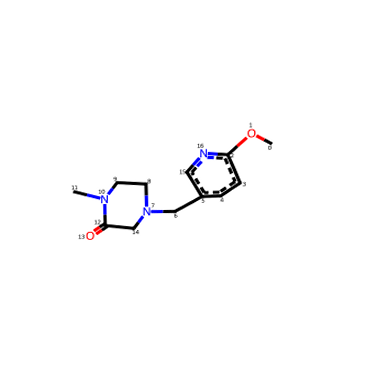 COc1ccc(CN2CCN(C)C(=O)C2)cn1